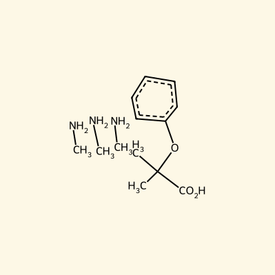 CC(C)(Oc1ccccc1)C(=O)O.CN.CN.CN